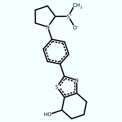 C[S+]([O-])C1CCCN1c1ccc(-c2nc3c(s2)C(O)CCC3)cc1